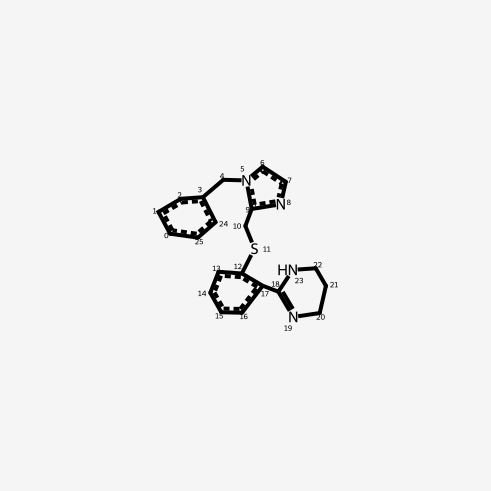 c1ccc(Cn2ccnc2CSc2ccccc2C2=NCCCN2)cc1